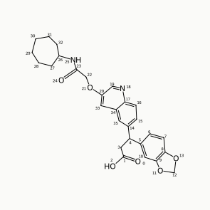 O=C(O)CC(c1ccc2c(c1)OCO2)c1ccc2ncc(OCC(=O)NC3CCCCCC3)cc2c1